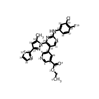 CCOC(=O)c1cncc(-c2cnc(Nc3ccc(F)c(Cl)c3)nc2-n2nc(-c3nccs3)cc2C)c1